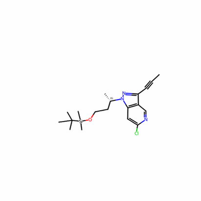 CC#Cc1nn([C@@H](C)CCO[Si](C)(C)C(C)(C)C)c2cc(Cl)ncc12